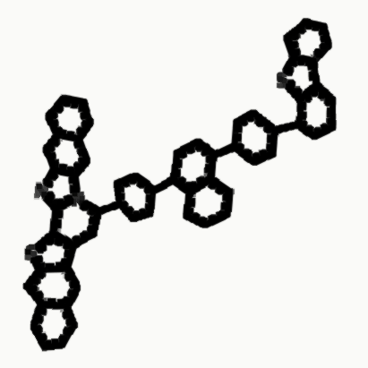 c1ccc2cc3c(cc2c1)nc1c2sc4cc5ccccc5cc4c2cc(-c2ccc(-c4ccc(-c5ccc(-c6cccc7c6sc6ccccc67)cc5)c5ccccc45)cc2)n31